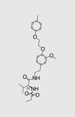 CCS(=O)(=O)N[C@H](C(=O)NCCc1ccc(OCCOc2ccc(C)cc2)c(OC)c1)C(C)C